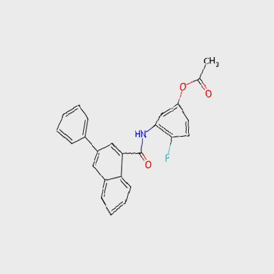 CC(=O)Oc1ccc(F)c(NC(=O)c2cc(-c3ccccc3)cc3ccccc23)c1